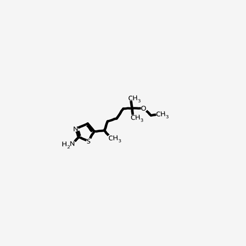 CCOC(C)(C)CCCC(C)c1cnc(N)s1